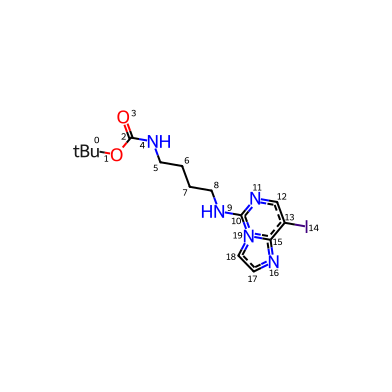 CC(C)(C)OC(=O)NCCCCNc1ncc(I)c2nccn12